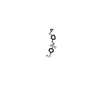 Cc1ccc(S(=O)(=O)OCc2cccc(OC3CC3)c2)cc1